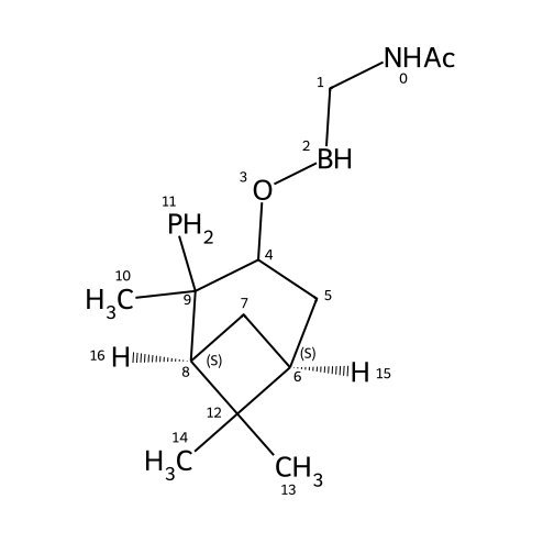 CC(=O)NCBOC1C[C@@H]2C[C@H](C1(C)P)C2(C)C